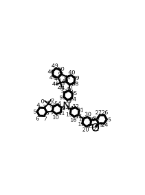 CC1(C)c2ccccc2-c2ccc(N(c3ccc(-c4ccc5oc6ccccc6c5c4)cc3)c3ccc(-c4cccc5c4C(C)(C)c4ccccc4-5)cc3)cc21